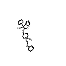 C[N+]1(CCOc2ccccc2)CCC(OC(=O)C(O)(c2cccs2)c2cccs2)CC1